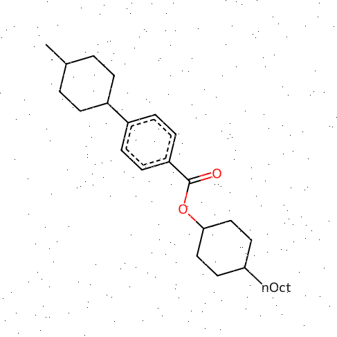 CCCCCCCCC1CCC(OC(=O)c2ccc(C3CCC(C)CC3)cc2)CC1